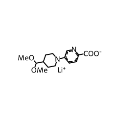 COC(OC)C1CCN(c2ccc(C(=O)[O-])nc2)CC1.[Li+]